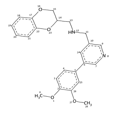 COc1ccc(-c2cncc(CNCC3COc4ccccc4O3)c2)cc1OC